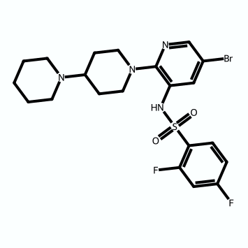 O=S(=O)(Nc1cc(Br)cnc1N1CCC(N2CCCCC2)CC1)c1ccc(F)cc1F